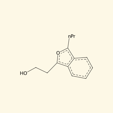 CCCc1oc(CCO)c2ccccc12